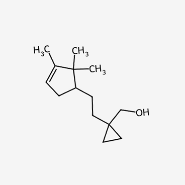 CC1=CCC(CCC2(CO)CC2)C1(C)C